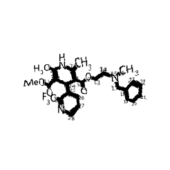 COC(=O)C1=C(C)NC(C)=C(C(=O)OCCN(C)Cc2ccccc2)C1c1cccnc1C(F)(F)F